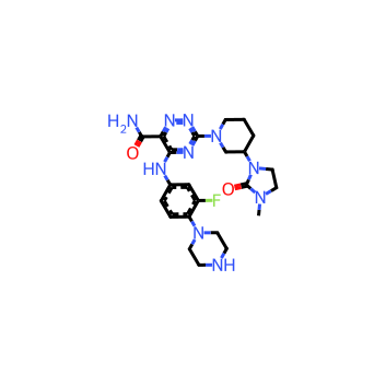 CN1CCN(C2CCCN(c3nnc(C(N)=O)c(Nc4ccc(N5CCNCC5)c(F)c4)n3)C2)C1=O